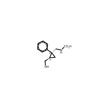 O=C(O)NC[C@]1(c2ccccc2)C[C@H]1CO